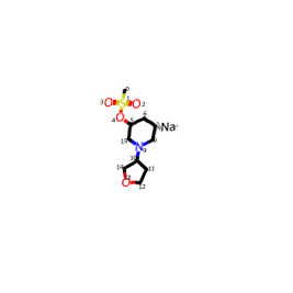 CS(=O)(=O)OC1CCCN(C2CCOC2)C1.[Na]